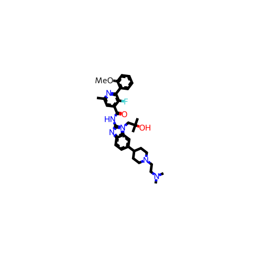 COc1ccccc1-c1nc(C)cc(C(=O)Nc2nc3ccc(C4CCN(CCN(C)C)CC4)cc3n2CC(C)(C)O)c1F